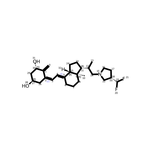 C=C1/C(=C\C=C2/CCC[C@]3(C)[C@@H](C(C)CN4CC[C@H](C(F)F)C4)CC[C@@H]23)C[C@@H](O)C[C@@H]1O